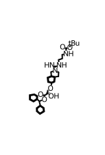 CC(C)(C)OC(=O)NCCCNC(=N)N1CCc2cc(OC[C@@H](O)C(=O)OC(c3ccccc3)c3ccccc3)ccc2C1